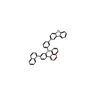 c1ccc(-c2ccc(-c3cccc4ccccc34)cc2N(c2ccccc2)c2cccc(-c3ccc4oc5ccccc5c4c3)c2)cc1